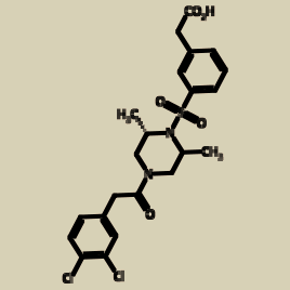 CC1CN(C(=O)Cc2ccc(Cl)c(Cl)c2)C[C@H](C)N1S(=O)(=O)c1cccc(CC(=O)O)c1